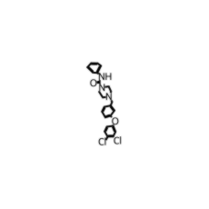 O=C(Nc1ccccc1)N1CCN(Cc2cccc(Oc3ccc(Cl)c(Cl)c3)c2)CC1